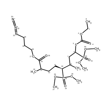 CCOC(=S)SC(CC(C)[C@H](CCC(C)C(=O)OCCCN=[N+]=[N-])P(=O)(OC)OC)P(=O)(OC)OC